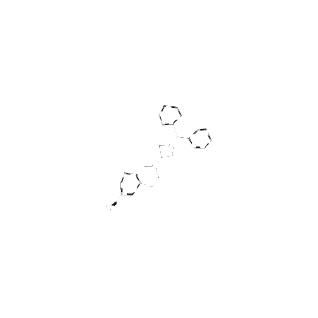 N#Cc1ccc2c(c1)CCN(C1CN(C(c3ccccc3)c3ccccc3)C1)C2